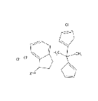 CC(C)(C1=CC=CC1)C1=CC=CC1.[Cl-].[Cl-].[Cl-].[Zr+3][CH]1CCc2ccccc21